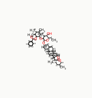 CCC1O[C@@H](O[C@H]2CC[C@@]3(C)C(=CC[C@H]4[C@@H]5C[C@@H]6O[C@]7(CC[C@@H](C)CO7)[C@@H](C)[C@@H]6[C@@]5(C)CC[C@@H]43)C2)C(O[C@@H]2CC(C)[C@H](C)[C@H](C)C2OC(=O)c2ccccc2)[C@@H](C)[C@@H]1O